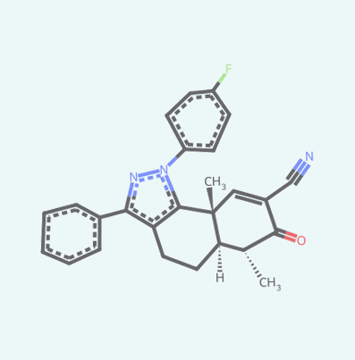 C[C@H]1C(=O)C(C#N)=C[C@@]2(C)c3c(c(-c4ccccc4)nn3-c3ccc(F)cc3)CC[C@H]12